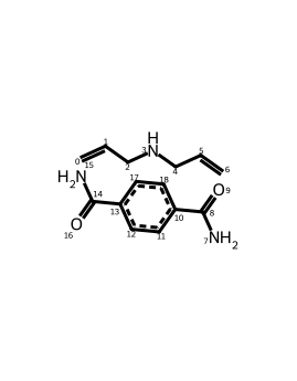 C=CCNCC=C.NC(=O)c1ccc(C(N)=O)cc1